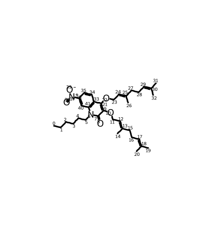 CCCCCCn1c(=O)c(OC/C=C(\C)CCC=C(C)C)c(OC/C=C(\C)CCC=C(C)C)c2ccc([N+](=O)[O-])cc21